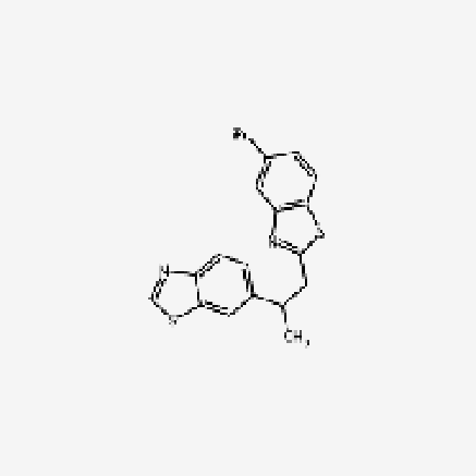 CC(C)c1ccc2sc(CC(C)c3ccc4ncsc4c3)nc2c1